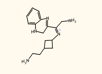 NCCC1CC(/N=C(/CN)C2=Nc3ccccc3NC2)C1